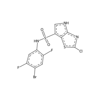 O=S(=O)(Nc1cc(F)c(Br)cc1F)c1c[nH]c2nc(Cl)sc12